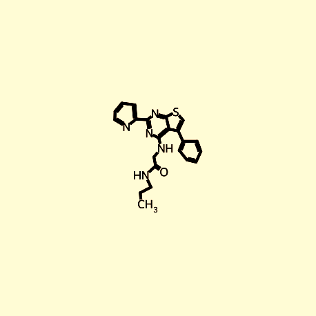 CCCNC(=O)CNc1nc(-c2ccccn2)nc2scc(-c3ccccc3)c12